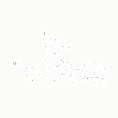 CC(CF)(NC(=O)c1cn(-c2c(F)cc(F)cc2F)c2nc(N3CC[C@H](O)C3)c(F)cc2c1=O)C(F)F